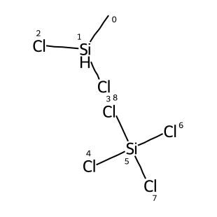 C[SiH](Cl)Cl.Cl[Si](Cl)(Cl)Cl